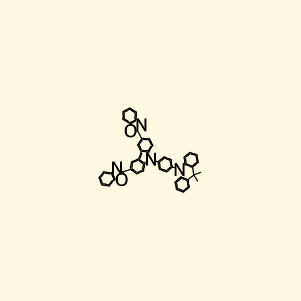 CC1(C)c2ccccc2N(c2ccc(-n3c4ccc(-c5nc6ccccc6o5)cc4c4cc(-c5nc6ccccc6o5)ccc43)cc2)c2ccccc21